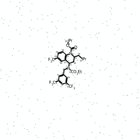 CCOC(=O)N(Cc1cc(C(F)(F)F)cc(C(F)(F)F)c1)C1CC(CC(C)C)N(C(=O)OC(C)C)c2ccc(C(F)(F)F)cc21